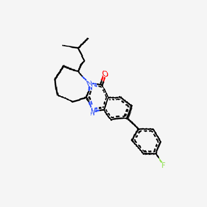 CC(C)CC1CCCCc2nc3cc(-c4ccc(F)cc4)ccc3c(=O)n21